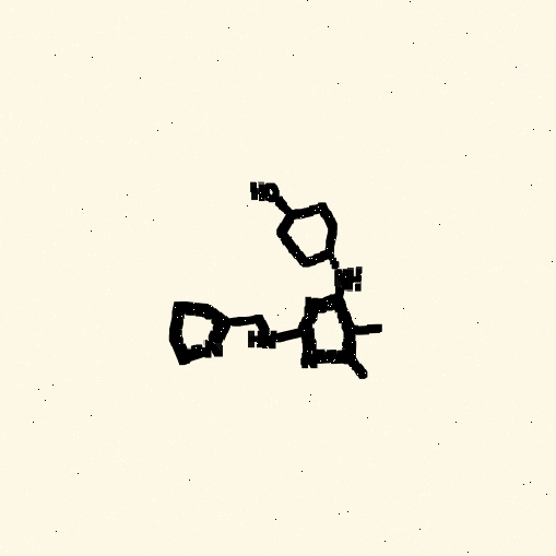 Cc1nc(NCc2ccccn2)nc(N[C@H]2CC[C@H](O)CC2)c1C